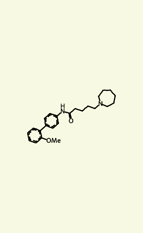 COc1ccccc1-c1ccc(NC(=O)CCCCN2CCCCCC2)cc1